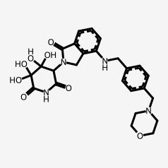 O=C1NC(=O)C(O)(O)C(O)(O)C1N1Cc2c(NCc3ccc(CN4CCOCC4)cc3)cccc2C1=O